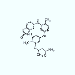 Cc1ccc(Nc2ncc(C)c(Nc3ccc4oc(=O)[nH]c4c3)n2)cc1OC(C)CC(N)=O